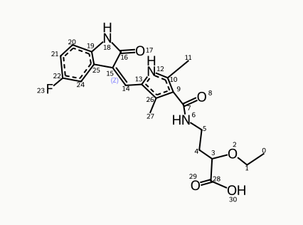 CCOC(CCNC(=O)c1c(C)[nH]c(/C=C2\C(=O)Nc3ccc(F)cc32)c1C)C(=O)O